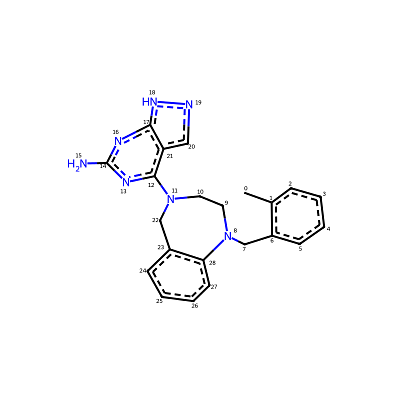 Cc1ccccc1CN1CCN(c2nc(N)nc3[nH]ncc23)Cc2ccccc21